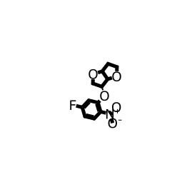 O=[N+]([O-])c1ccc(F)cc1O[C@@H]1COC2CCOC21